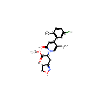 COc1cn(C(CC2=NOCC2)C(=O)OC(C)(C)C)c(=O)cc1-c1cc(Cl)ccc1C#N